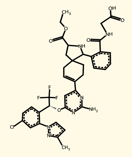 CCOC(=O)C1CC2(CC=C(c3cc(O[C@H](c4ccc(Cl)cc4-n4ccc(C)n4)C(F)(F)F)nc(N)n3)CC2)C(c2ccccc2C(=O)NCC(=O)O)N1